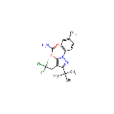 Cc1ccc(-n2nc(C(C)(C)C)c(CC(Cl)(Cl)Cl)c2OC(N)=O)cc1